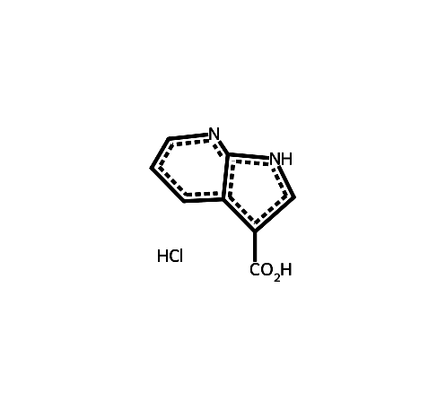 Cl.O=C(O)c1c[nH]c2ncccc12